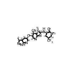 Cc1n[nH]c2ncc(Oc3cnc4nc(Nc5cc(C(F)(F)F)cn(C)c5=O)n(C)c4c3C#N)cc12